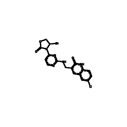 CC(C)C1COC(=O)N1c1ccnc(NCc2cc3cc(Cl)ccc3[nH]c2=O)n1